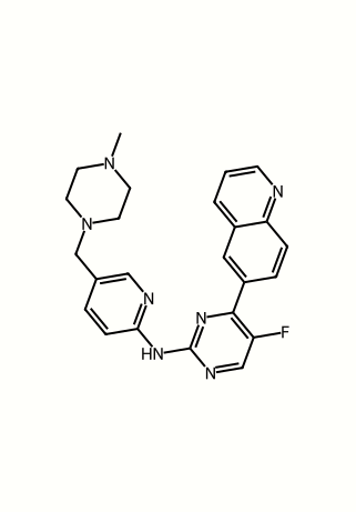 CN1CCN(Cc2ccc(Nc3ncc(F)c(-c4ccc5ncccc5c4)n3)nc2)CC1